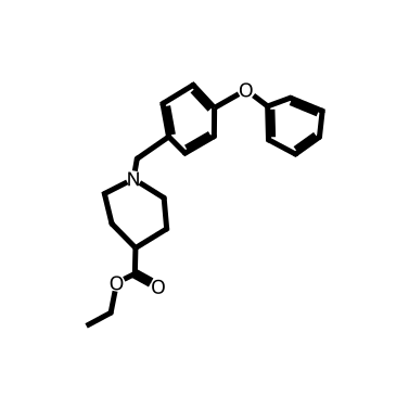 CCOC(=O)C1CCN(Cc2ccc(Oc3ccccc3)cc2)CC1